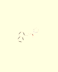 O=C(OCc1cccc2ccccc12)N1[CH]CCC1